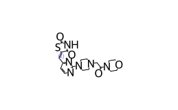 O=C1NC(=O)/C(=C\c2ccnc(N3CCN(CC(=O)N4CCOCC4)CC3)n2)S1